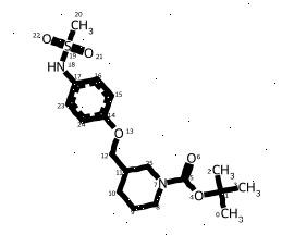 CC(C)(C)OC(=O)N1CCCC(COc2ccc(NS(C)(=O)=O)cc2)C1